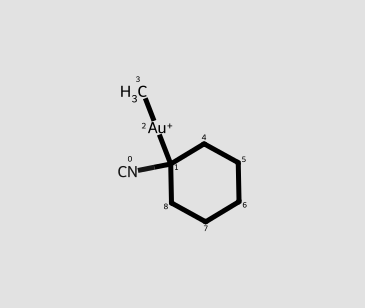 [C-]#[N+][C]1([Au+][CH3])CCCCC1